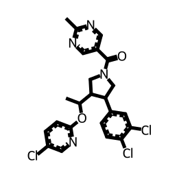 Cc1ncc(C(=O)N2CC(c3ccc(Cl)c(Cl)c3)C(C(C)Oc3ccc(Cl)cn3)C2)cn1